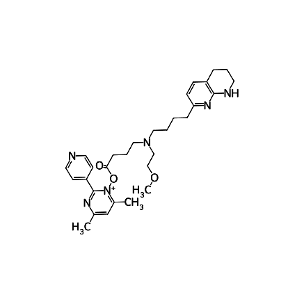 COCCN(CCCCc1ccc2c(n1)NCCC2)CCCC(=O)O[n+]1c(C)cc(C)nc1-c1ccncc1